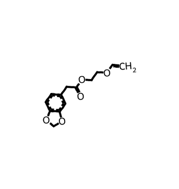 C=COCCOC(=O)Cc1ccc2c(c1)OCO2